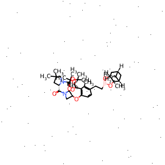 Cc1c(CCB2O[C@@H]3C[C@@H]4C[C@@H](C4(C)C)[C@]3(C)O2)ccc(OC2CN(C(=O)[C@@H]3CC(C)(C)CN3C(=O)OC(C)(C)C)C2)c1C(=O)OC(C)(C)C